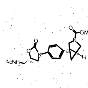 COC(=O)N1C[C@H]2C[C@@]2(c2ccc(N3C[C@H](CNC(C)=O)OC3=O)cc2)C1